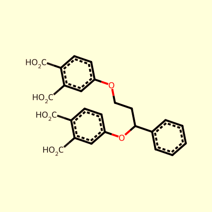 O=C(O)c1ccc(OCCC(Oc2ccc(C(=O)O)c(C(=O)O)c2)c2ccccc2)cc1C(=O)O